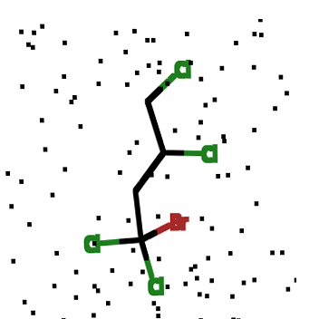 ClCC(Cl)CC(Cl)(Cl)Br